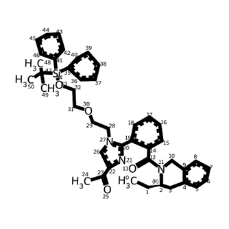 CC[C@@H]1Cc2ccccc2CN1C(=O)c1ccccc1-c1nc(C(C)=O)cn1CCOCCO[Si](c1ccccc1)(c1ccccc1)C(C)(C)C